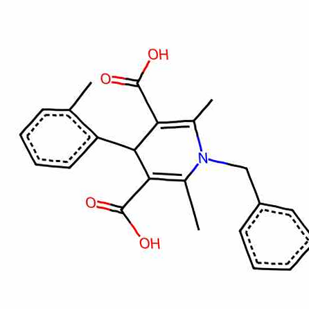 CC1=C(C(=O)O)C(c2ccccc2C)C(C(=O)O)=C(C)N1Cc1ccccc1